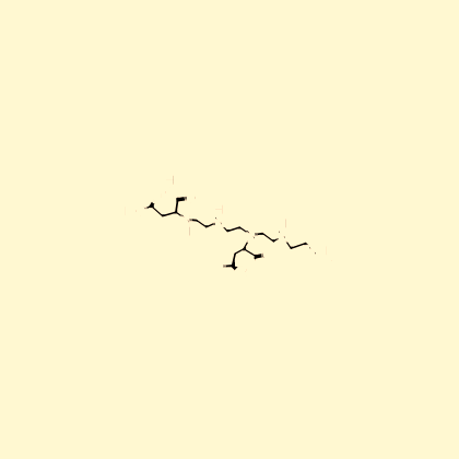 NCCNCCN(CCNCCNC(CC(=O)O)C(=O)O)C(CC(=O)O)C(=O)O